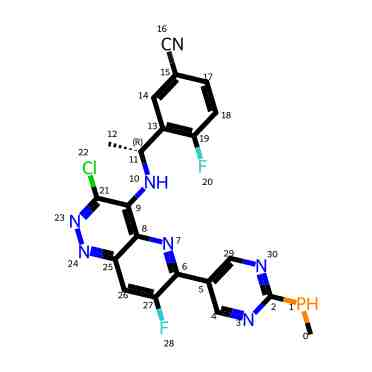 CPc1ncc(-c2nc3c(N[C@H](C)c4cc(C#N)ccc4F)c(Cl)nnc3cc2F)cn1